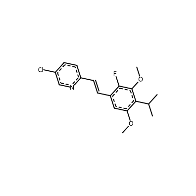 COc1cc(C=Cc2ccc(Cl)cn2)c(F)c(OC)c1C(C)C